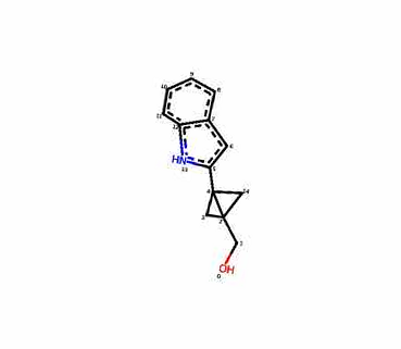 OCC12CC1(c1cc3ccccc3[nH]1)C2